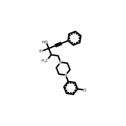 CCC(O)(C#Cc1ccccc1)C(C)CN1CCN(c2cccc(Cl)c2)CC1